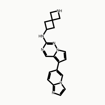 c1cn2cc(-c3ccn4nc(NC5CC6(CNC6)C5)ncc34)ccc2n1